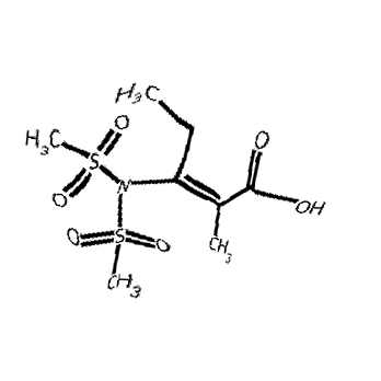 CC/C(=C(/C)C(=O)O)N(S(C)(=O)=O)S(C)(=O)=O